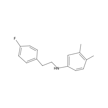 Cc1ccc(NCCc2ccc(F)cc2)cc1C